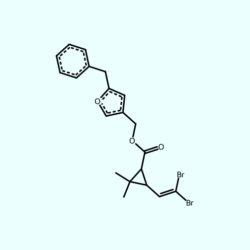 CC1(C)C(C=C(Br)Br)C1C(=O)OCc1coc(Cc2ccccc2)c1